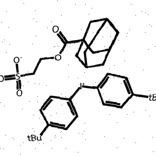 CC(C)(C)c1ccc([I+]c2ccc(C(C)(C)C)cc2)cc1.O=C(OCCS(=O)(=O)[O-])C12CC3CC(CC(C3)C1)C2